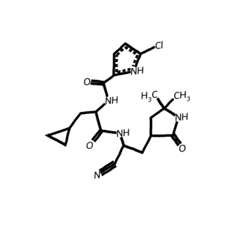 CC1(C)CC(CC(C#N)NC(=O)C(CC2CC2)NC(=O)c2ccc(Cl)[nH]2)C(=O)N1